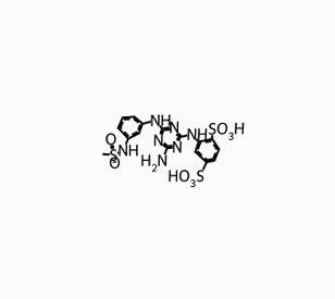 CS(=O)(=O)Nc1cccc(Nc2nc(N)nc(Nc3cc(S(=O)(=O)O)ccc3S(=O)(=O)O)n2)c1